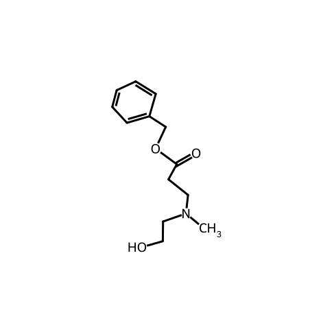 CN(CCO)CCC(=O)OCc1ccccc1